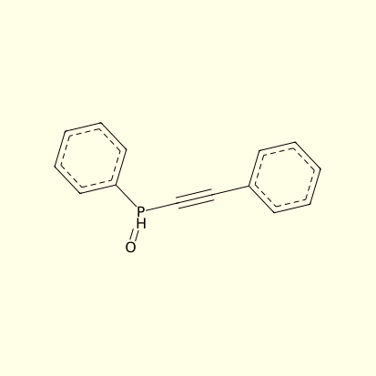 O=[PH](C#Cc1ccccc1)c1ccccc1